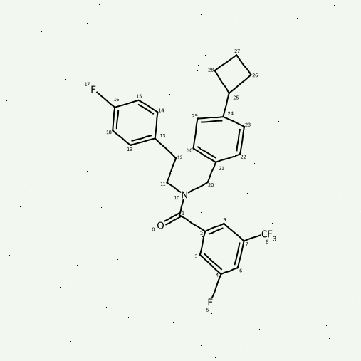 O=C(c1cc(F)cc(C(F)(F)F)c1)N(CCc1ccc(F)cc1)Cc1ccc(C2CCC2)cc1